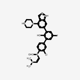 CN(C)/C=C\N(C=O)c1ccc(-c2cc(F)cc(-c3cc(N4CCNCC4)c4cn[nH]c4c3)c2O)cc1Cl